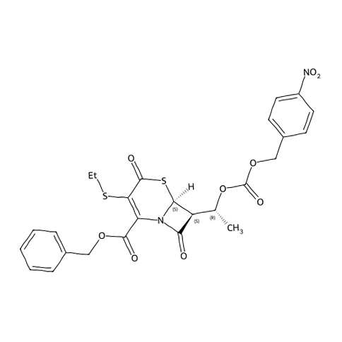 CCSC1=C(C(=O)OCc2ccccc2)N2C(=O)[C@H]([C@@H](C)OC(=O)OCc3ccc([N+](=O)[O-])cc3)[C@@H]2SC1=O